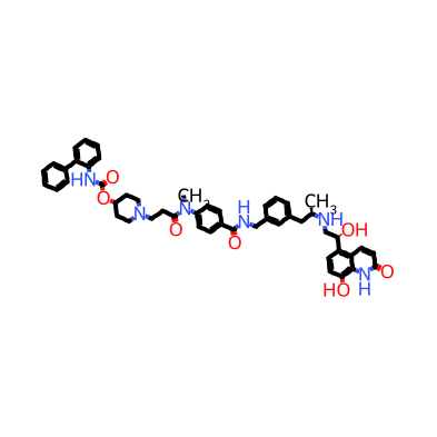 C[C@H](Cc1cccc(CNC(=O)c2ccc(N(C)C(=O)CCN3CCC(OC(=O)Nc4ccccc4-c4ccccc4)CC3)cc2)c1)NC[C@H](O)c1ccc(O)c2[nH]c(=O)ccc12